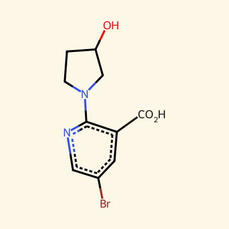 O=C(O)c1cc(Br)cnc1N1CCC(O)C1